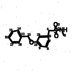 CNS(=O)(=O)Cc1cccc(OCc2ccccc2)c1